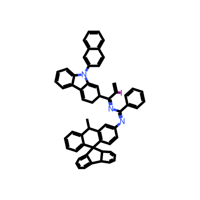 C=C(I)/C(=N\C(=N/c1ccc2c(c1)C(C)c1ccccc1C21c2ccccc2C2C=CC=CC21)c1ccccc1)C1C=c2c(c3ccccc3n2-c2ccc3ccccc3c2)=CC1